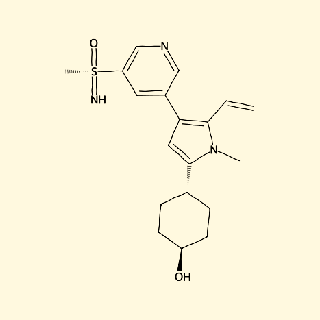 C=Cc1c(-c2cncc([S@@](C)(=N)=O)c2)cc([C@H]2CC[C@H](O)CC2)n1C